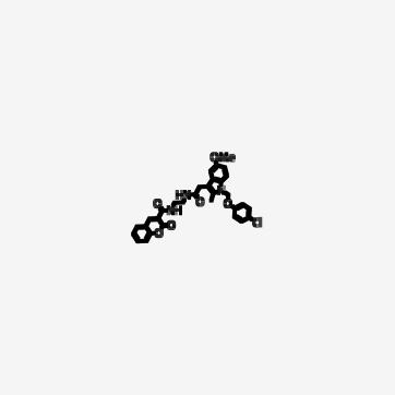 COc1ccc2c(c1)c(CC(=O)NCCNC(=O)c1cc3ccccc3oc1=O)c(C)n2COc1ccc(Cl)cc1